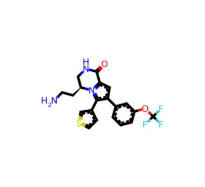 NCC[C@H]1CNC(=O)c2cc(-c3cccc(OC(F)(F)F)c3)c(-c3ccsc3)n21